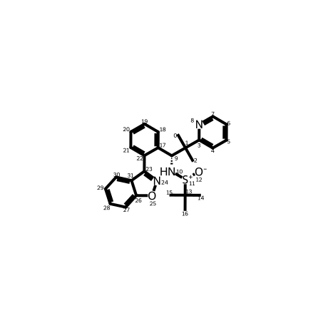 CC(C)(c1ccccn1)[C@H](N[S+]([O-])C(C)(C)C)c1ccccc1-c1noc2ccccc12